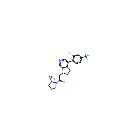 CC1CCCN1C(=O)CC1CCc2c(-c3ccc(C(F)(F)F)cc3F)cncc21